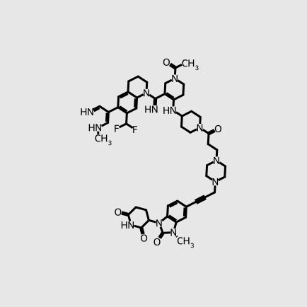 CN/C=C(\C=N)c1cc2c(cc1C(F)F)N(C(=N)C1=C(NC3CCN(C(=O)CCN4CCN(CC#Cc5ccc6c(c5)n(C)c(=O)n6C5CCC(=O)NC5=O)CC4)CC3)CCN(C(C)=O)C1)CCC2